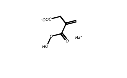 C=C(CC(=O)[O-])C(=O)OO.[Na+]